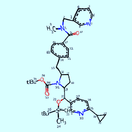 CN(Cc1cccnc1)C(=O)c1ccc(CC2CCC([C@H](O[Si](C)(C)C(C)(C)C)c3ccc(C4CC4)nc3)N2C(=O)OC(C)(C)C)cc1